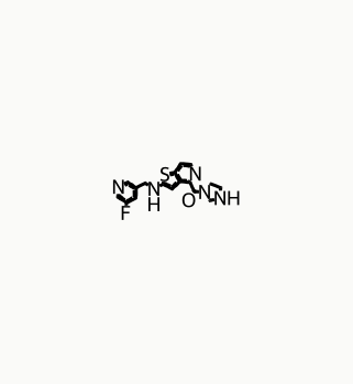 O=C(c1nccc2sc(NCc3cncc(F)c3)cc12)N1CCNC1